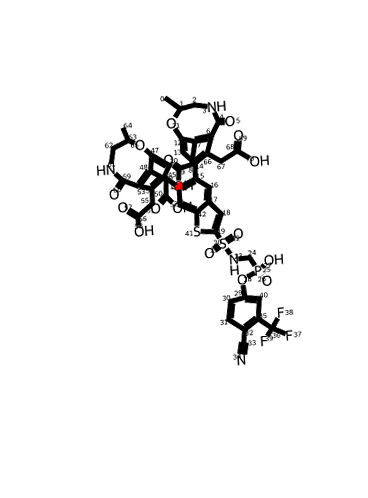 CC1CNC(=O)c2c(CC(=O)O)c(cc(-c3cc4cc(S(=O)(=O)NCP(=O)(O)Oc5ccc(C#N)c(C(F)(F)F)c5)sc4cc3-c3cc4c(CC(=O)O)c(c3CC(=O)O)C(=O)NCC(C)O4)c2CC(=O)O)O1